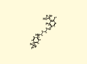 NC(O)c1c(F)ccc(OCCCCNc2ccc(C(F)(F)F)cc2)c1F